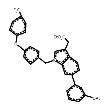 CCOC(=O)Cc1cn(Cc2ccc(Oc3ccc(C(F)(F)F)cc3)cc2)c2cc(-c3cccc(OC(C)=O)c3)ccc12